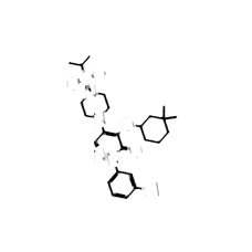 CC(C)S(=O)(=O)N1CCN(c2cnn(-c3cccc(Cl)c3)c(=O)c2OC2CCCC(C)(C)C2)CC1